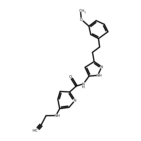 C#CCNc1ccc(C(=O)Nc2cc(CCc3cccc(OC)c3)n[nH]2)nc1